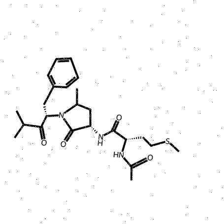 CSCC[C@H](NC(C)=O)C(=O)N[C@H]1CC(C)N([C@@H](Cc2ccccc2)C(=O)C(C)C)C1=O